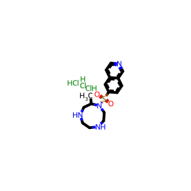 CC1CNCCNCCN1S(=O)(=O)c1ccc2cnccc2c1.Cl.Cl.Cl